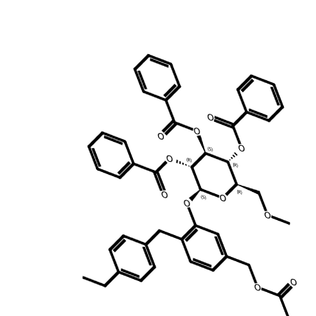 CCc1ccc(Cc2ccc(COC(C)=O)cc2O[C@@H]2O[C@H](COC)[C@@H](OC(=O)c3ccccc3)[C@H](OC(=O)c3ccccc3)[C@H]2OC(=O)c2ccccc2)cc1